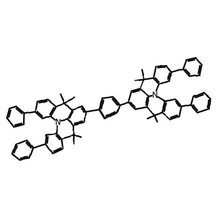 CC1(C)c2ccc(-c3ccccc3)cc2N2c3cc(-c4ccccc4)ccc3C(C)(C)c3cc(-c4ccc(-c5cc6c7c(c5)C(C)(C)c5ccc(-c8ccccc8)cc5N7c5cc(-c7ccccc7)ccc5C6(C)C)cc4)cc1c32